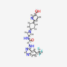 O=C(CNc1ncnc2ccc(C(F)(F)F)cc12)NC1CN(C2CCC(c3ccc(O)cn3)CC2)C1